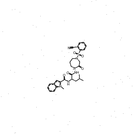 CC(C)CC(NC(=O)c1cc2ccccc2n1C)C(=O)N[C@@H]1CCCN(S(=O)(=O)c2ccccc2C#N)CC1=O